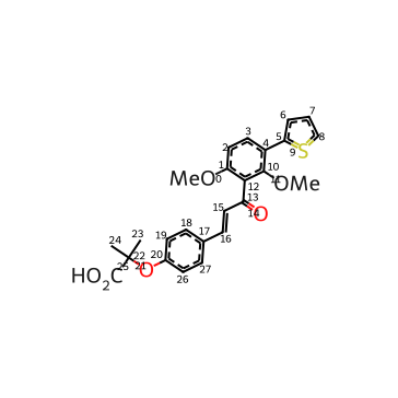 COc1ccc(-c2cccs2)c(OC)c1C(=O)C=Cc1ccc(OC(C)(C)C(=O)O)cc1